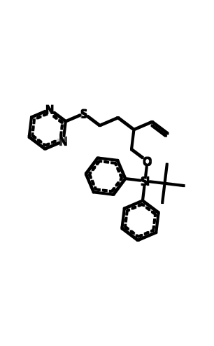 C=CC(CCSc1ncccn1)CO[Si](c1ccccc1)(c1ccccc1)C(C)(C)C